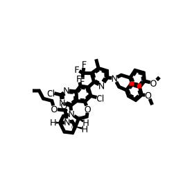 CCCCOC(=O)N1C[C@H]2CC[C@@H]1CN1c3nc(Cl)nc4c(F)c(-c5nc(N(Cc6ccc(OC)cc6)Cc6ccc(OC)cc6)cc(C)c5C(F)(F)F)c(Cl)c(c34)OC[C@H]21